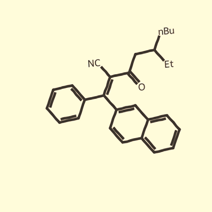 CCCCC(CC)CC(=O)C(C#N)=C(c1ccccc1)c1ccc2ccccc2c1